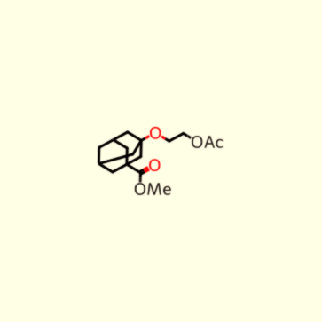 COC(=O)C12CC3CC(CC(OCCOC(C)=O)(C3)C1)C2